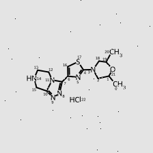 CC1CN(c2nc(-c3nnc4n3CCNC4)cs2)CC(C)O1.Cl